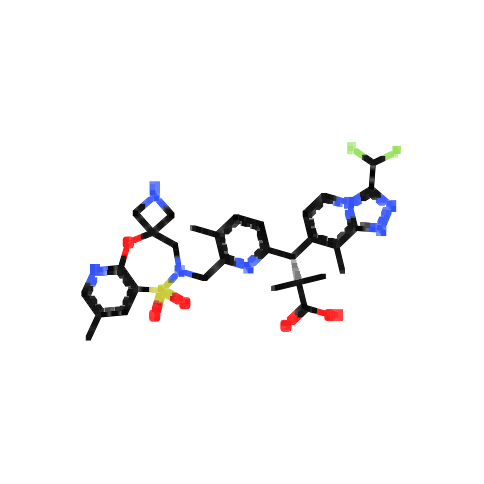 Cc1cnc2c(c1)S(=O)(=O)N(Cc1nc([C@H](c3ccn4c(C(F)F)nnc4c3C)C(C)(C)C(=O)O)ccc1C)CC1(CNC1)O2